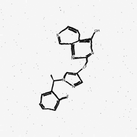 C[C@H](c1ccccc1F)n1cc(Oc2nc(O)c3ccncc3n2)cn1